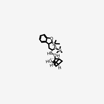 CC1(C)[C@@H]2C[C@@H](O)[C@@](C)(OB[C@H](CC3COc4ccccc43)N([Si](C)(C)C)[Si](C)(C)C)[C@H]1C2